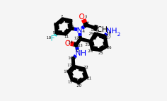 C#CC(=O)N(c1cccc(F)c1)C(C(=O)NCc1ccccc1)c1cccc(N)c1